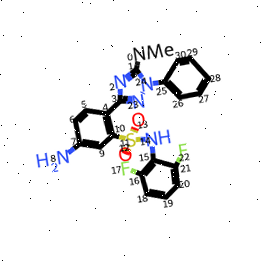 CNc1nc(-c2ccc(N)cc2S(=O)(=O)Nc2c(F)cccc2F)nn1-c1ccccc1